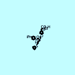 CCOC(Cc1ccc(OCCN(CCCCSc2ccccc2)C(=O)Nc2ccc(C(C)C)cc2)cc1)C(=O)O